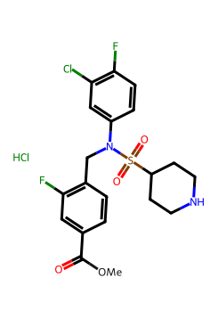 COC(=O)c1ccc(CN(c2ccc(F)c(Cl)c2)S(=O)(=O)C2CCNCC2)c(F)c1.Cl